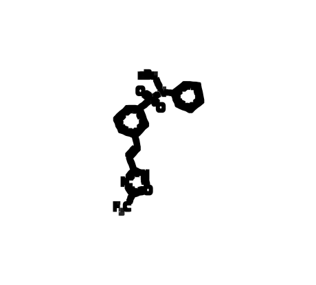 CCCCN(c1ccccc1)S(=O)(=O)c1cccc(C=Cc2noc(C(F)(F)F)n2)c1